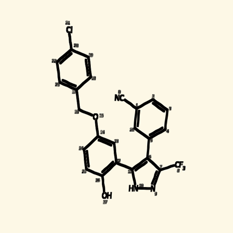 N#Cc1cccc(-c2c(C(F)(F)F)n[nH]c2-c2cc(OCc3ccc(Cl)cc3)ccc2O)c1